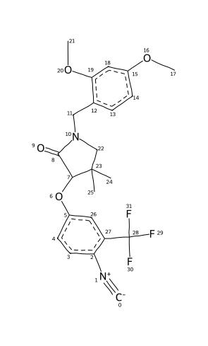 [C-]#[N+]c1ccc(OC2C(=O)N(Cc3ccc(OC)cc3OC)CC2(C)C)cc1C(F)(F)F